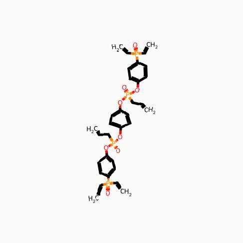 C=CCP(=O)(Oc1ccc(OP(=O)(CC=C)Oc2ccc(P(=O)(C=C)C=C)cc2)cc1)Oc1ccc(P(=O)(C=C)C=C)cc1